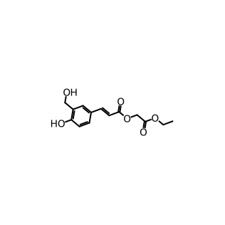 CCOC(=O)COC(=O)/C=C/c1ccc(O)c(CO)c1